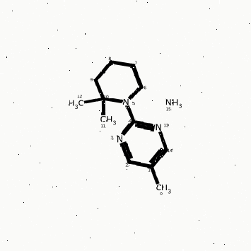 Cc1cnc(N2CCCCC2(C)C)nc1.N